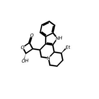 CC[C@H]1CCCN2CC(C3C(=O)O[C@H]3O)c3c([nH]c4ccccc34)C12